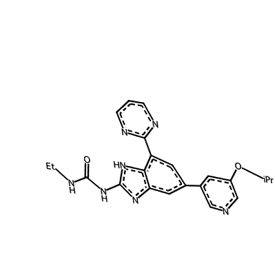 CCNC(=O)Nc1nc2cc(-c3cncc(OC(C)C)c3)cc(-c3ncccn3)c2[nH]1